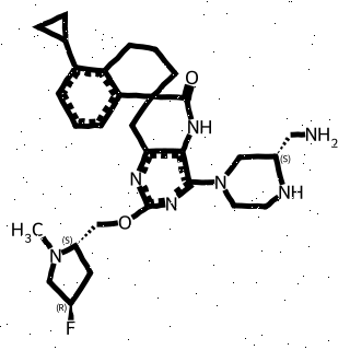 CN1C[C@H](F)C[C@H]1COc1nc2c(c(N3CCN[C@@H](CN)C3)n1)NC(=O)C1(CCCc3c(C4CC4)cccc31)C2